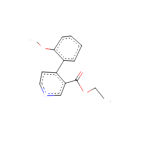 CCOC(=O)c1cnccc1-c1ccccc1OC